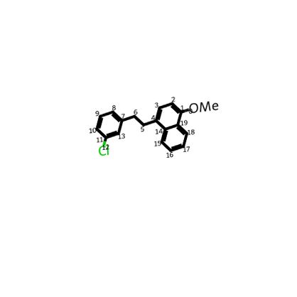 COc1ccc(CCc2cccc(Cl)c2)c2ccccc12